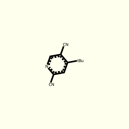 CC(C)(C)c1cc(C#N)ncc1C#N